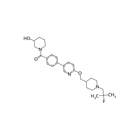 CC(C)(F)CN1CCC(COc2ccc(-c3ccc(C(=O)N4CCCC(O)C4)cc3)cn2)CC1